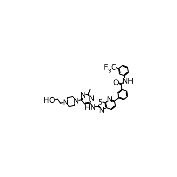 Cc1nc(Nc2nc3ccc(-c4cccc(C(=O)Nc5cccc(C(F)(F)F)c5)c4)nc3s2)cc(N2CCN(CCO)CC2)n1